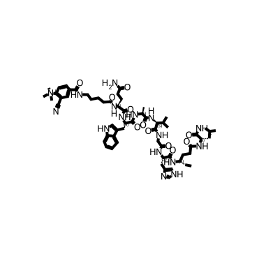 CC[C@@H](CCC(=O)N[C@@H](CC(C)C)C(N)=O)NC(=O)[C@H](Cc1c[nH]cn1)NC(=O)CNC(=O)[C@@H](NC(=O)[C@H](C)NC(=O)[C@H](Cc1c[nH]c2ccccc12)NC(=O)[C@H](CCC(N)=O)NC(=O)CCCCNC(=O)c1ccc([N+](C)(C)C)c(C#N)c1)C(C)C